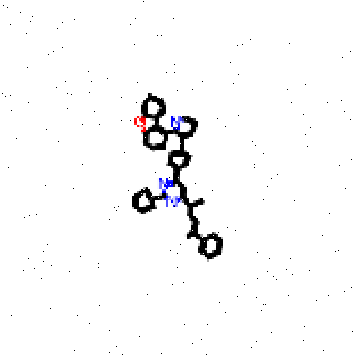 C/C(=C\C=C(/C)c1cc(-c2ccc(-c3cccnc3-c3cccc4oc5ccccc5c34)cc2)nc(-c2ccccc2)n1)c1ccccc1